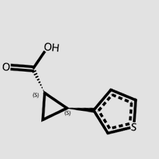 O=C(O)[C@H]1C[C@@H]1c1ccsc1